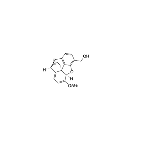 COC1=CC=C2[C@H]3Cc4ccc(CO)c5c4[C@@]2(CCN3)[C@H]1O5